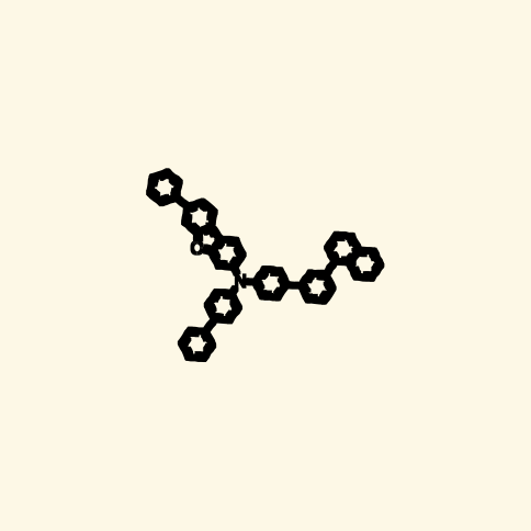 c1ccc(-c2ccc(N(c3ccc(-c4cccc(-c5cccc6ccccc56)c4)cc3)c3ccc4c(c3)oc3cc(-c5ccccc5)ccc34)cc2)cc1